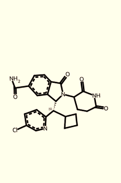 NC(=O)c1ccc2c(c1)C([C@@H](c1ccc(Cl)cn1)C1CCC1)N(C1CCC(=O)NC1=O)C2=O